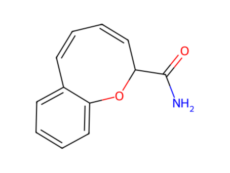 NC(=O)C1C=CC=Cc2ccccc2O1